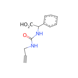 C#CCNC(=O)NC(C(=O)O)c1ccccc1